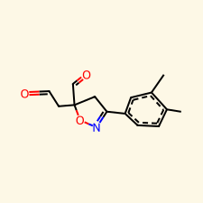 Cc1ccc(C2=NOC(C=O)(CC=O)C2)cc1C